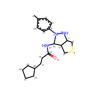 Cc1ccc(N2NC3CSCC3C2NC(=O)CCC2CCCC2)cc1